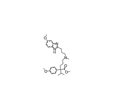 COC(=O)C(CCCN(C)CCCc1nc2cc(OC)ccc2[nH]1)(c1ccc(OC)cc1)C(C)C